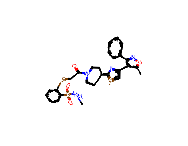 CNS(=O)(=O)c1ccccc1SCC(=O)N1CCC(c2nc(-c3c(-c4ccccc4)noc3C)cs2)CC1